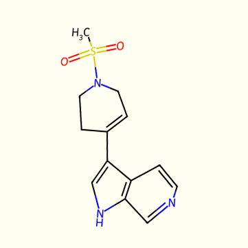 CS(=O)(=O)N1CC=C(c2c[nH]c3cnccc23)CC1